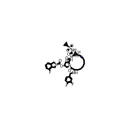 O=C1N[C@]2(C(=O)NS(=O)(=O)C3CC3)C[C@H]2/C=C\CCCCC[C@H](NCc2ccc(F)c(F)c2)C(=O)N2C[C@H](OC(=O)N3Cc4cccc(F)c4C3)C[C@@H]12